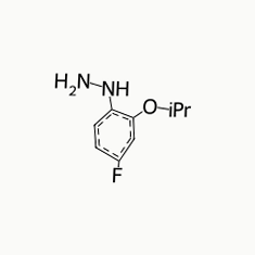 CC(C)Oc1cc(F)ccc1NN